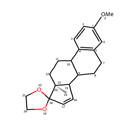 COc1ccc2c(c1)CCC1C2CC[C@@]2(C)C1C=CC21OCCO1